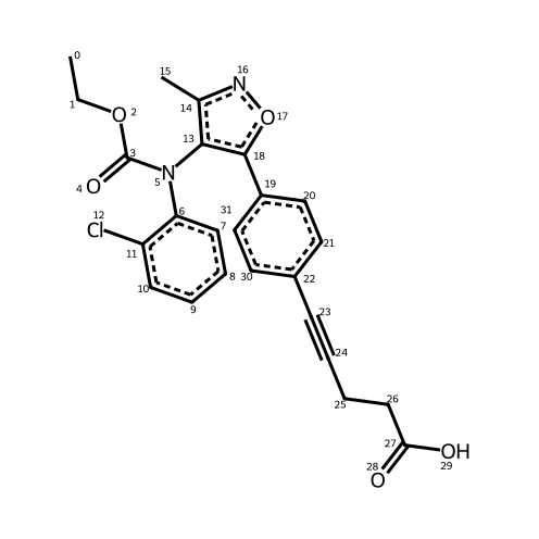 CCOC(=O)N(c1ccccc1Cl)c1c(C)noc1-c1ccc(C#CCCC(=O)O)cc1